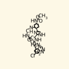 COC(=O)Nc1ccc2c(c1)NCCCNC(=O)C[C@H](NC(=O)/C=C/c1cc(Cl)ccc1N(N)/C=N\N)c1nc-2c[nH]1